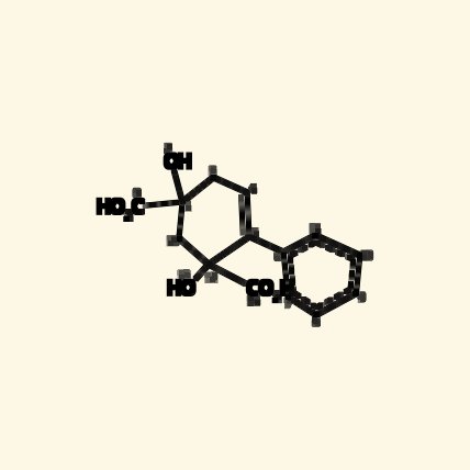 O=C(O)C1(O)CC=C(c2ccccc2)C(O)(C(=O)O)C1